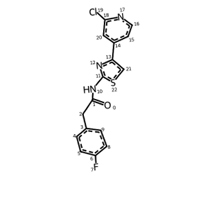 O=C(Cc1ccc(F)cc1)Nc1nc(-c2ccnc(Cl)c2)cs1